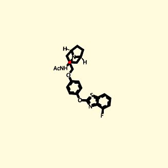 CC(=O)NC1C[C@H]2CC[C@@H](C1)N2CCOc1ccc(Oc2nc3c(F)cccc3s2)cc1